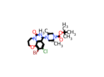 C[C@@H]1CN(c2nc(=O)n3c4c(c(Br)c(Cl)cc24)OCCC3)[C@@H](C)CN1C(=O)OC(C)(C)C